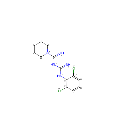 N=C(NC(=N)N1CCCCC1)Nc1c(Cl)cccc1Cl